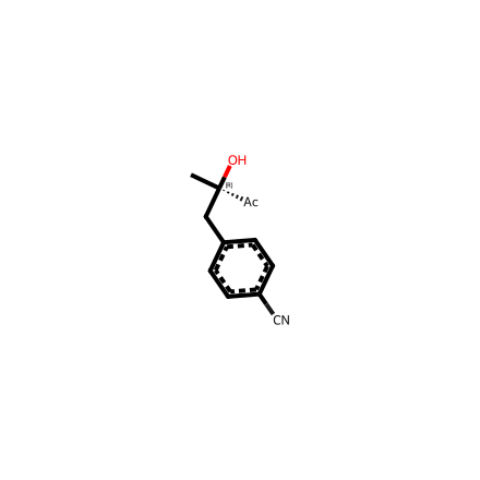 CC(=O)[C@](C)(O)Cc1ccc(C#N)cc1